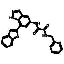 O=C(NCc1ccccn1)C(=O)Nc1cc(-c2cc3ccccc3s2)c2[nH]ncc2c1